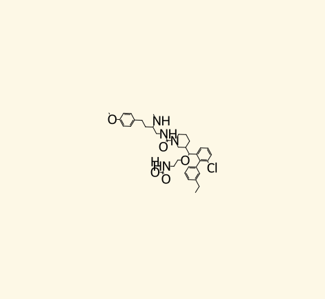 CCc1cccc(-c2c(Cl)cccc2C(OCCNC(=O)O)C2CCCN(C(=O)NCC(CCc3ccc(OC)cc3)NC)C2)c1